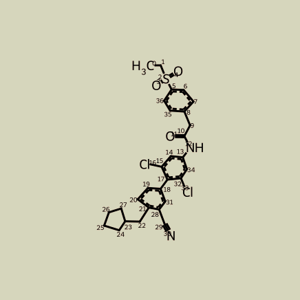 CCS(=O)(=O)c1ccc(CC(=O)Nc2cc(Cl)c(-c3ccc(CC4CCCC4)c(C#N)c3)c(Cl)c2)cc1